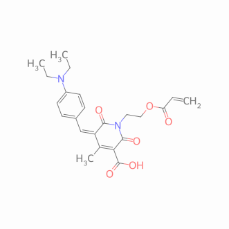 C=CC(=O)OCCN1C(=O)C(C(=O)O)=C(C)/C(=C/c2ccc(N(CC)CC)cc2)C1=O